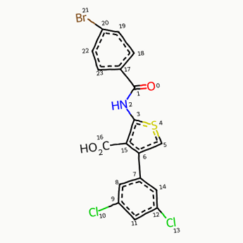 O=C(Nc1scc(-c2cc(Cl)cc(Cl)c2)c1C(=O)O)c1ccc(Br)cc1